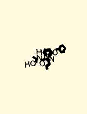 CCCc1nc2c(OCC3CCCCC3)cccn2c1C(=O)NC(C)CO